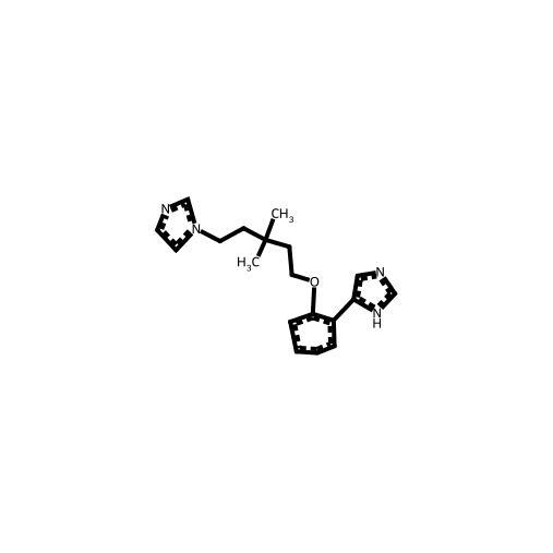 CC(C)(CCOc1ccccc1-c1cnc[nH]1)CCn1ccnc1